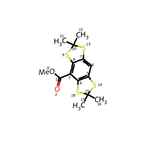 COC(=O)c1c2c(cc3c1SC(C)(C)S3)SC(C)(C)S2